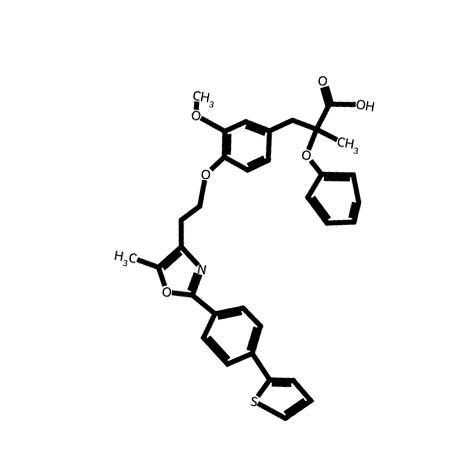 COc1cc(CC(C)(Oc2ccccc2)C(=O)O)ccc1OCCc1nc(-c2ccc(-c3cccs3)cc2)oc1C